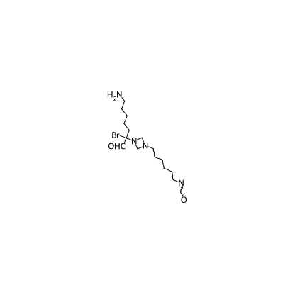 NCCCCCC(Br)(C=O)N1CN(CCCCCCN=C=O)C1